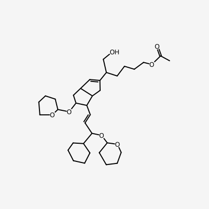 CC(=O)OCCCCC(CO)C1=CC2CC(OC3CCCCO3)C(C=CC(OC3CCCCO3)C3CCCCC3)C2C1